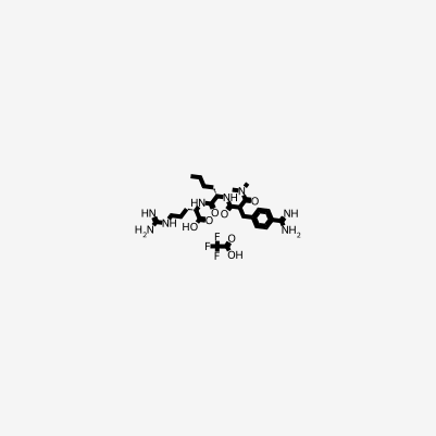 CCCC[C@H](NC(=O)C(Cc1ccc(C(=N)N)cc1)C(=O)N(C)C)C(=O)N[C@@H](CCCNC(=N)N)C(=O)O.O=C(O)C(F)(F)F